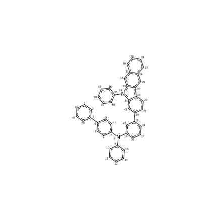 c1ccc(-c2ccc(N(c3ccccc3)c3cccc(-c4ccc5c6cc7ccccc7cc6n(-c6ccccc6)c5c4)c3)cc2)cc1